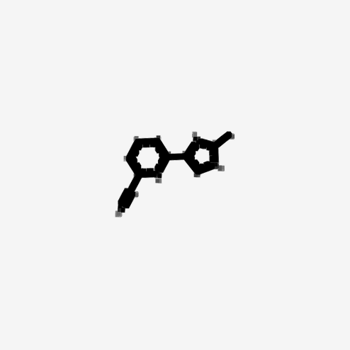 Cc1nc(-c2cccc(C#N)n2)cs1